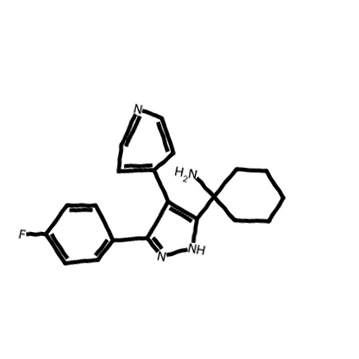 NC1(c2[nH]nc(-c3ccc(F)cc3)c2-c2ccncc2)CCCCC1